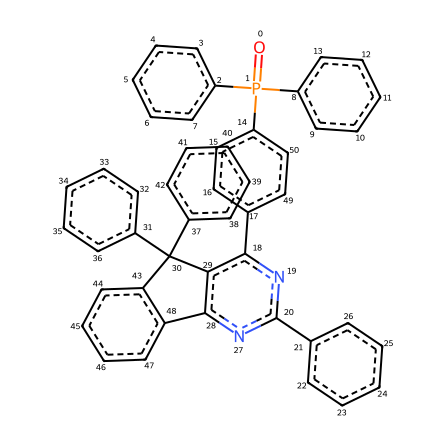 O=P(c1ccccc1)(c1ccccc1)c1ccc(-c2nc(-c3ccccc3)nc3c2C(c2ccccc2)(c2ccccc2)c2ccccc2-3)cc1